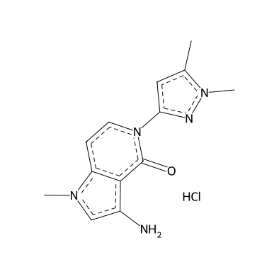 Cc1cc(-n2ccc3c(c(N)cn3C)c2=O)nn1C.Cl